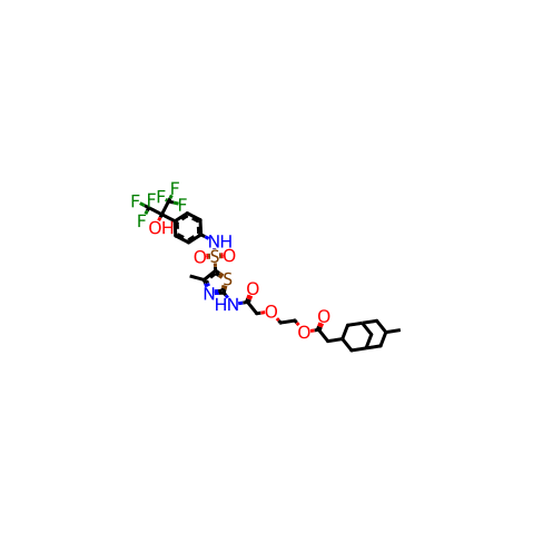 Cc1nc(NC(=O)COCCOC(=O)CC2CC3CC(C)CC(C2)C3)sc1S(=O)(=O)Nc1ccc(C(O)(C(F)(F)F)C(F)(F)F)cc1